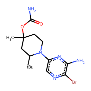 CC1(OC(N)=O)CCN(c2cnc(Br)c(N)n2)C(C(C)(C)C)C1